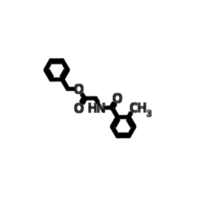 Cc1ccccc1C(=O)NCC(=O)OCc1ccccc1